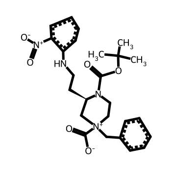 CC(C)(C)OC(=O)N1CC[N+](Cc2ccccc2)(C(=O)[O-])C[C@H]1CCNc1ccccc1[N+](=O)[O-]